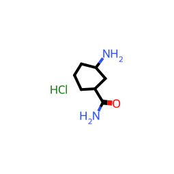 Cl.NC(=O)C1CCCC(N)C1